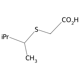 CC(C)C(C)SCC(=O)O